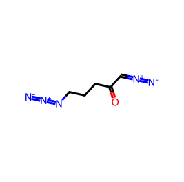 [N-]=[N+]=CC(=O)CCCN=[N+]=[N-]